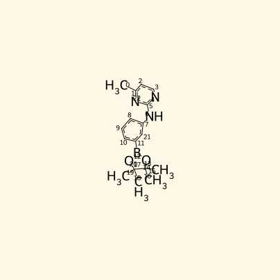 Cc1ccnc(Nc2cccc(B3OC(C)(C)C(C)(C)O3)c2)n1